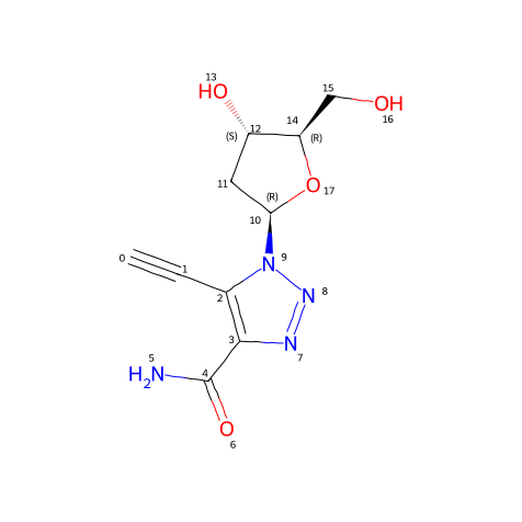 C#Cc1c(C(N)=O)nnn1[C@H]1C[C@H](O)[C@@H](CO)O1